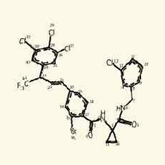 O=C(NC1(C(=O)NCc2cccc(Cl)c2)CC1)c1ccc(/C=C/C(c2cc(Cl)c(Cl)c(Cl)c2)C(F)(F)F)cc1Br